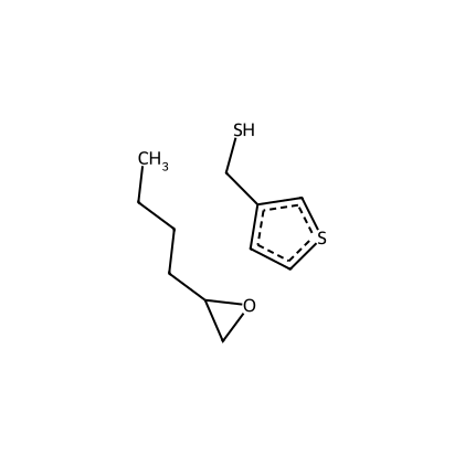 CCCCC1CO1.SCc1ccsc1